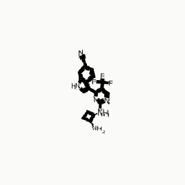 N#Cc1ccc2c(-c3nc(N[C@H]4CC[C@@H]4N)ncc3C(F)(F)F)c[nH]c2c1